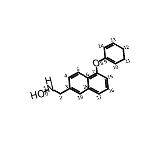 ONCc1ccc2c(OC3=CCCC=C3)cccc2c1